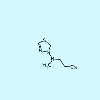 CN(CCC#N)N1CS[C]=N1